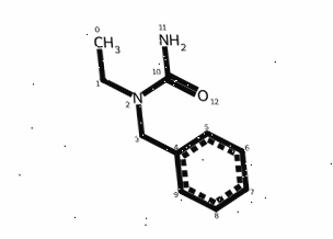 CCN(Cc1ccccc1)C(N)=O